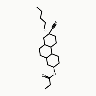 CCCCC[C@]1(C#N)CCC2C(CCC3C[C@H](OC(=O)CC)CCC32)C1